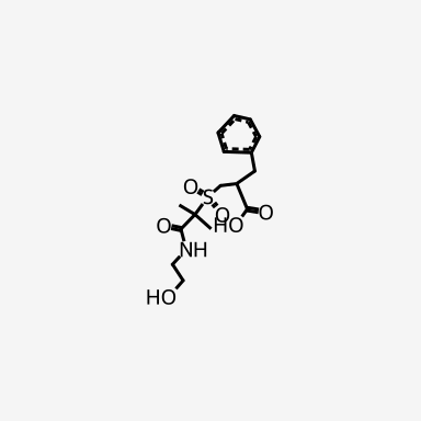 CC(C)(C(=O)NCCO)S(=O)(=O)CC(Cc1ccccc1)C(=O)O